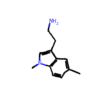 Cc1ccc2c(c1)c(CCN)cn2C